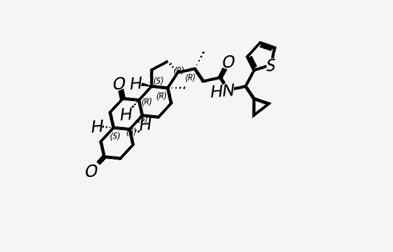 C[C@H](CC(=O)NC(c1cccs1)C1CC1)[C@H]1CC[C@H]2[C@@H]3C(=O)C[C@@H]4CC(=O)CC[C@]4(C)[C@H]3CC[C@]12C